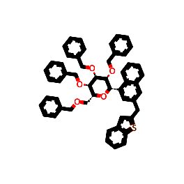 c1ccc(COC[C@H]2O[C@@H](c3cc(Cc4cc5ccccc5s4)cc4ccccc34)[C@@H](OCc3ccccc3)[C@@H](OCc3ccccc3)[C@H]2OCc2ccccc2)cc1